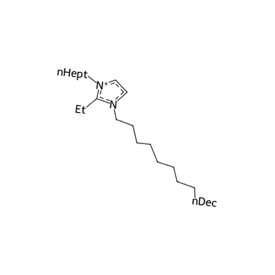 CCCCCCCCCCCCCCCCCCn1cc[n+](CCCCCCC)c1CC